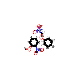 COc1ccccc1[N+](=O)[O-].O=[N+]([O-])COc1ccccc1